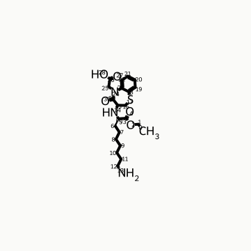 CCOC(=O)[C@@H](CCCCCCCN)NC1CSc2ccccc2N(CC(=O)O)C1=O